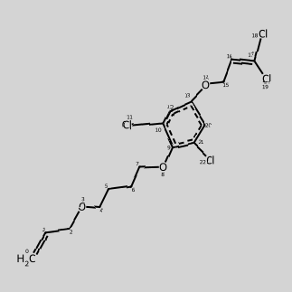 C=CCOCCCCOc1c(Cl)cc(OCC=C(Cl)Cl)cc1Cl